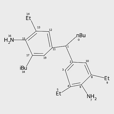 CCCCC(c1cc(CC)c(N)c(CC)c1)c1cc(CC)c(N)c(C(C)CC)c1